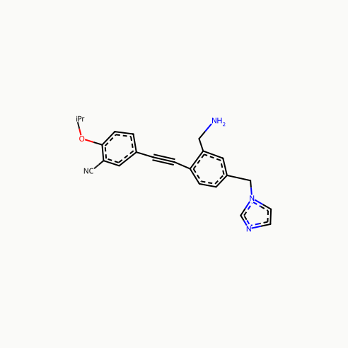 CC(C)Oc1ccc(C#Cc2ccc(Cn3ccnc3)cc2CN)cc1C#N